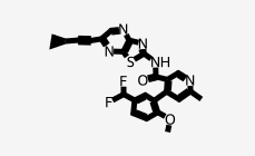 COc1ccc(C(F)F)cc1-c1cc(C)ncc1C(=O)Nc1nc2ncc(C#CC3CC3)nc2s1